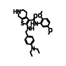 CCN(CC)c1ccc(CNc2sc3c(c2C(=O)Nc2cc(OC)ccc2OC)CCNC3)cc1